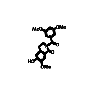 COc1cc(OC)cc(C(=O)N2CCc3cc(O)c(OC)cc3C2=O)c1